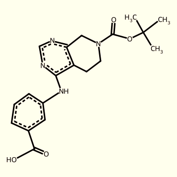 CC(C)(C)OC(=O)N1CCc2c(ncnc2Nc2cccc(C(=O)O)c2)C1